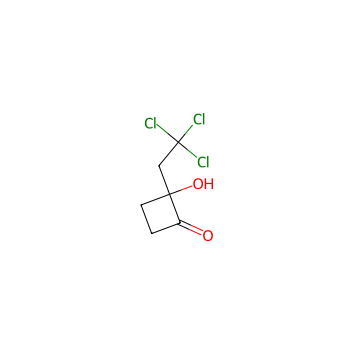 O=C1CCC1(O)CC(Cl)(Cl)Cl